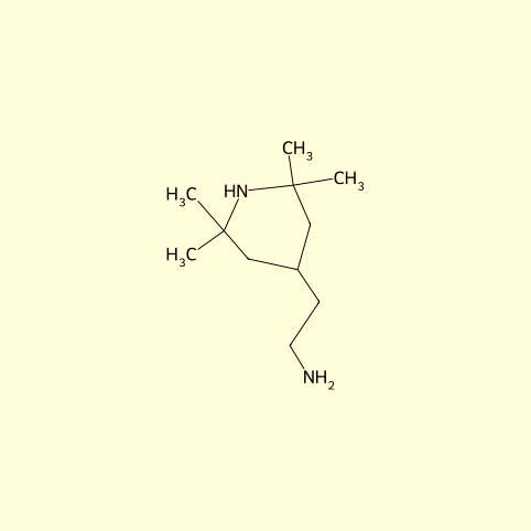 CC1(C)CC(CCN)CC(C)(C)N1